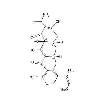 C/C(=N/OCC(C)C)c1ccc(C)c2c1C[C@H]1C[C@H]3CC(O)=C(C(N)=O)C(=O)[C@@]3(O)C(O)=C1C2=O